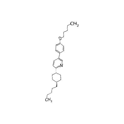 CCCCCOc1ccc(-c2ccc([C@H]3CC[C@H](CCCCC)CC3)nc2)cc1